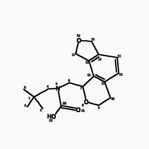 CC(C)(C)CN(CC1OCCc2ccc3c(c21)COC3)C(=O)O